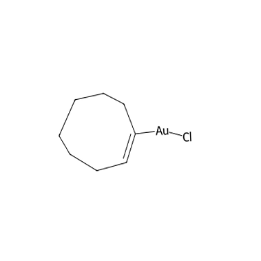 [Cl][Au][C]1=CCCCCCC1